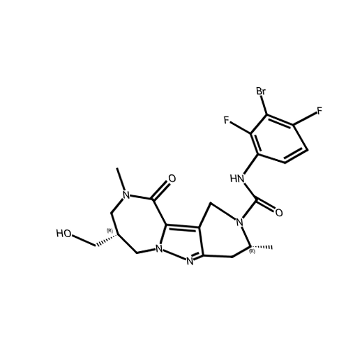 C[C@@H]1Cc2nn3c(c2CN1C(=O)Nc1ccc(F)c(Br)c1F)C(=O)N(C)C[C@@H](CO)C3